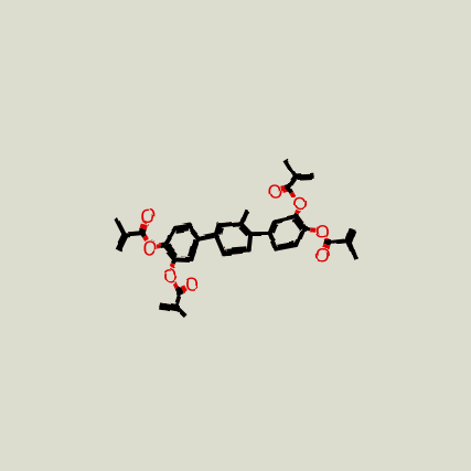 C=C(C)C(=O)Oc1ccc(-c2ccc(-c3ccc(OC(=O)C(=C)C)c(OC(=O)C(=C)C)c3)c(C)c2)cc1OC(=O)C(=C)C